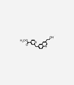 COC(=O)c1ccnc(Cc2ccc3ncc(CCO)cc3c2)c1